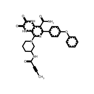 CC#CC(=O)NC1CCCN(c2nc(-c3ccc(Oc4ccccc4)cc3)c(C(N)=O)c3[nH]c(=O)c(=O)[nH]c23)C1